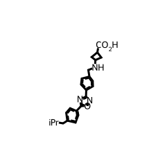 CC(C)Cc1ccc(-c2nc(-c3ccc(CNC4CC(C(=O)O)C4)cc3)no2)cc1